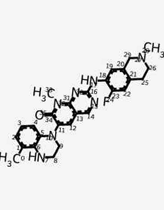 Cc1cccc2c1NCCN2c1cc2cnc(Nc3cc4c(cc3F)CCN(C)C4)nc2n(C)c1=O